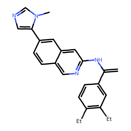 C=C(Nc1cc2cc(-c3cncn3C)ccc2cn1)c1ccc(CC)c(CC)c1